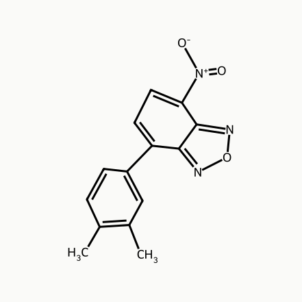 Cc1ccc(-c2ccc([N+](=O)[O-])c3nonc23)cc1C